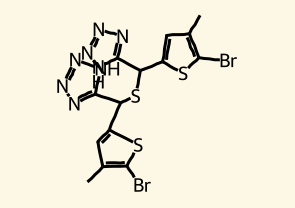 Cc1cc(C(SC(c2nnn[nH]2)c2cc(C)c(Br)s2)c2nnn[nH]2)sc1Br